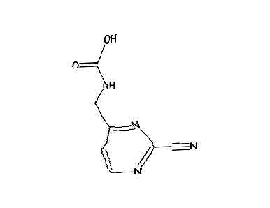 N#Cc1nccc(CNC(=O)O)n1